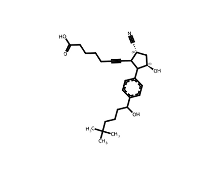 CC(C)(C)CCCC(O)c1ccc(C2C(C#CCCCCC(=O)O)[C@H](C#N)C[C@H]2O)cc1